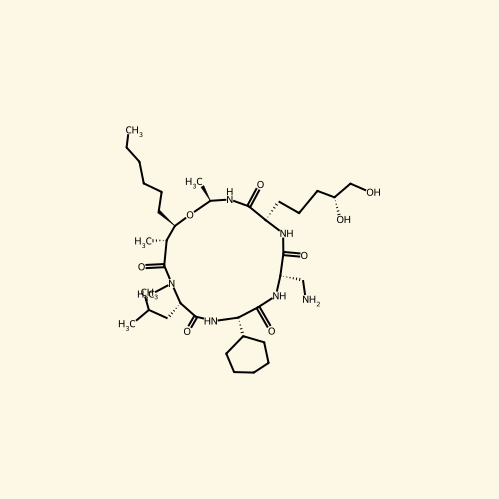 CCCCCC[C@H]1O[C@@H](C)NC(=O)[C@H](CCC[C@@H](O)CO)NC(=O)[C@H](CN)NC(=O)[C@H](C2CCCCC2)NC(=O)[C@H](CC(C)C)N(C)C(=O)[C@@H]1C